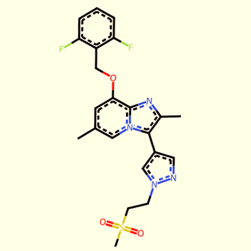 Cc1cc(OCc2c(F)cccc2F)c2nc(C)c(-c3cnn(CCS(C)(=O)=O)c3)n2c1